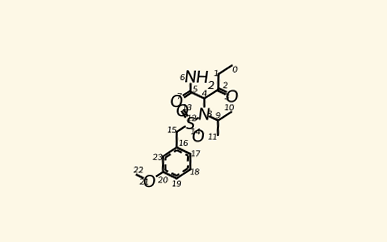 CCC(=O)C(C(N)=O)N(C(C)C)S(=O)(=O)Cc1cccc(OC)c1